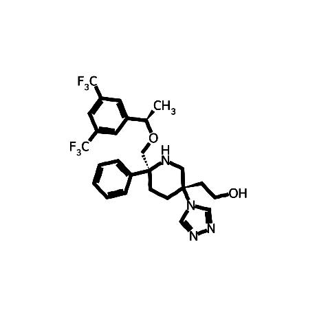 C[C@@H](OC[C@@]1(c2ccccc2)CC[C@@](CCO)(n2cnnc2)CN1)c1cc(C(F)(F)F)cc(C(F)(F)F)c1